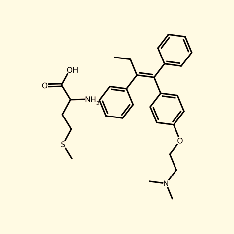 CC/C(=C(\c1ccccc1)c1ccc(OCCN(C)C)cc1)c1ccccc1.CSCCC(N)C(=O)O